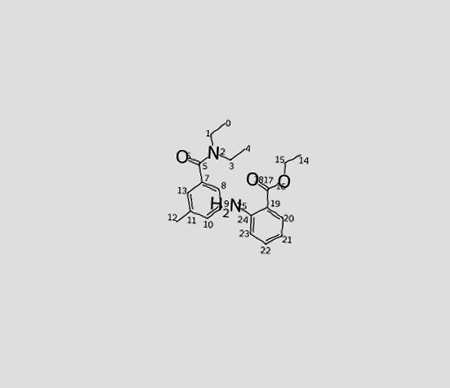 CCN(CC)C(=O)c1cccc(C)c1.CCOC(=O)c1ccccc1N